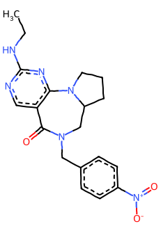 CCNc1ncc2c(n1)N1CCCC1CN(Cc1ccc([N+](=O)[O-])cc1)C2=O